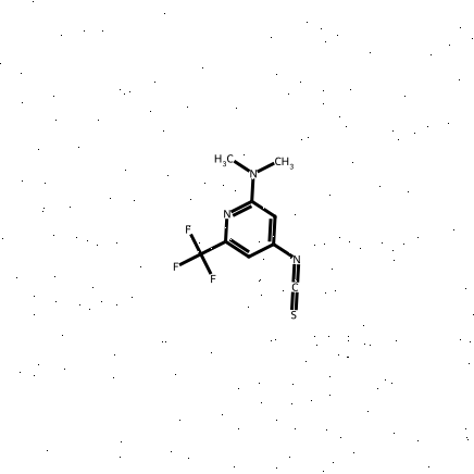 CN(C)c1cc(N=C=S)cc(C(F)(F)F)n1